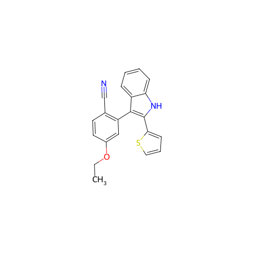 CCOc1ccc(C#N)c(-c2c(-c3cccs3)[nH]c3ccccc23)c1